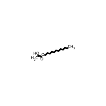 C=C(O)C(=O)OCCCCCCCCCCCC